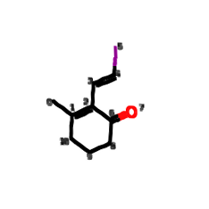 CC1=C(C=CI)C(=O)CCC1